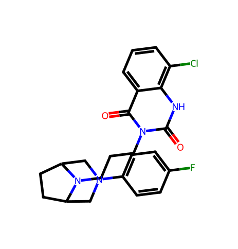 O=c1[nH]c2c(Cl)cccc2c(=O)n1CCCN1C2CCC1CN(c1ccc(F)cc1)C2